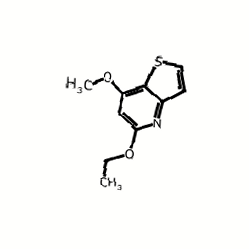 CCOc1cc(OC)c2sccc2n1